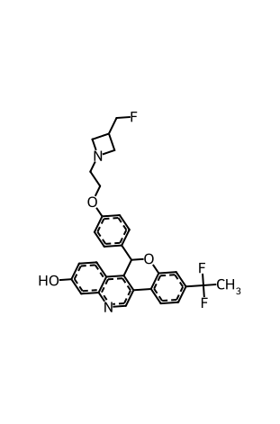 CC(F)(F)c1ccc2c(c1)OC(c1ccc(OCCN3CC(CF)C3)cc1)c1c-2cnc2cc(O)ccc12